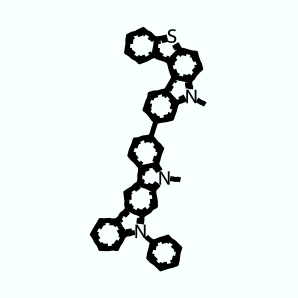 Cn1c2cc(-c3ccc4c5c6c(ccc5n(C)c4c3)sc3ccccc36)ccc2c2cc3c4ccccc4n(-c4ccccc4)c3cc21